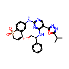 CC(C)c1nnc(-c2cnc(Nc3ccc4c(c3)C=CCS4(=O)=O)nc2N[C@H](CO)c2ccccc2)o1